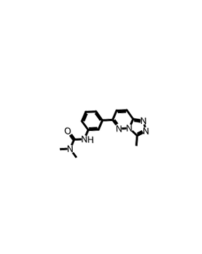 Cc1nnc2ccc(-c3cccc(NC(=O)N(C)C)c3)nn12